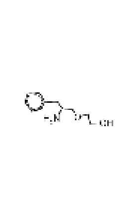 N[C@H](COCCO)Cc1ccccc1